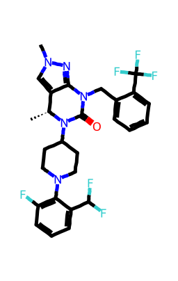 C[C@@H]1c2cn(C)nc2N(Cc2ccccc2C(F)(F)F)C(=O)N1C1CCN(c2c(F)cccc2C(F)F)CC1